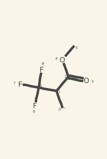 [CH2]C(C(=O)OC)C(F)(F)F